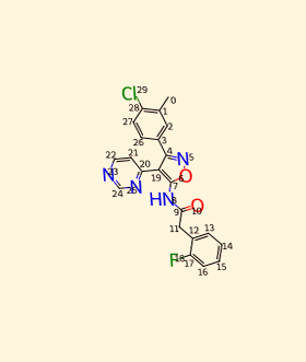 Cc1cc(-c2noc(NC(=O)Cc3ccccc3F)c2-c2ccncn2)ccc1Cl